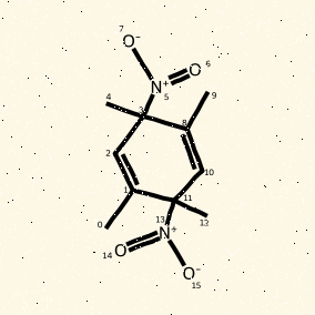 CC1=CC(C)([N+](=O)[O-])C(C)=CC1(C)[N+](=O)[O-]